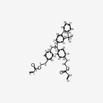 C=CC(=O)OCCc1ccc(CN(c2ccc(CCOC(=O)C=C)cc2)c2ccc3c(c2)C(C)(C)c2ccccc2-3)cc1